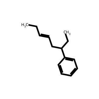 CCC=CCC(CC)c1ccccc1